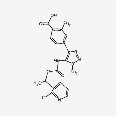 Cc1nc(-c2nnn(C)c2NC(=O)OC(C)c2cccnc2Cl)ccc1C(=O)O